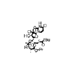 CC(C)OC(=O)[C@H](C)N[P@](=S)(OCCSC(=O)C(C)(C)C)OC[C@H]1O[C@@H](n2ccc(=O)[nH]c2=O)C(Cl)(Cl)[C@@H]1O